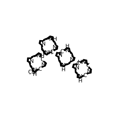 C1=Cc2cc3ccc(cc4nc(cc5ccc(cc1n2)[nH]5)C=C4)[nH]3.C1=Cc2cc3ccc(cc4nc(cc5ccc(cc1n2)[nH]5)C=C4)[nH]3.C1=Cc2cc3ccc(cc4nc(cc5ccc(cc1n2)[nH]5)C=C4)[nH]3.C1=Cc2cc3ccc(cc4nc(cc5ccc(cc1n2)[nH]5)C=C4)[nH]3.[Cu]